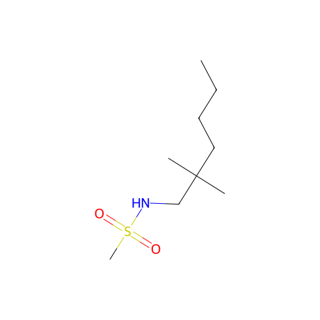 CCCCC(C)(C)CNS(C)(=O)=O